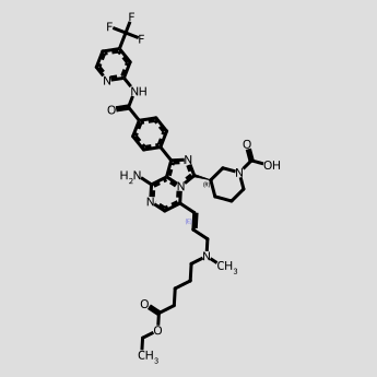 CCOC(=O)CCCCN(C)C/C=C/c1cnc(N)c2c(-c3ccc(C(=O)Nc4cc(C(F)(F)F)ccn4)cc3)nc([C@@H]3CCCN(C(=O)O)C3)n12